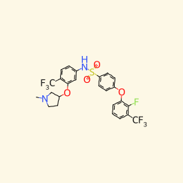 CN1CCC(Oc2cc(NS(=O)(=O)c3ccc(Oc4cccc(C(F)(F)F)c4F)cc3)ccc2C(F)(F)F)C1